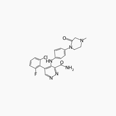 CN1CCN(c2ccc(Nc3c(-c4c(F)cccc4Cl)cnnc3C(N)=O)cc2)C(=O)C1